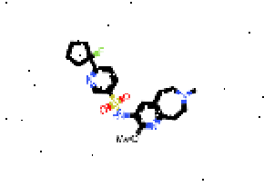 COc1nc2c(cc1NS(=O)(=O)c1ccc(C3(F)CCCC3)nc1)CCN(C)CC2